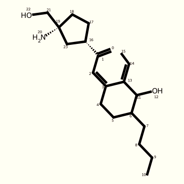 C=C(/C=C1/CCC(CCCC)C(O)/C1=C/C)[C@H]1CC[C@](N)(CO)C1